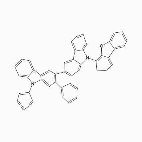 c1ccc(-c2cc3c(cc2-c2ccc4c(c2)c2ccccc2n4-c2cccc4c2oc2ccccc24)c2ccccc2n3-c2ccccc2)cc1